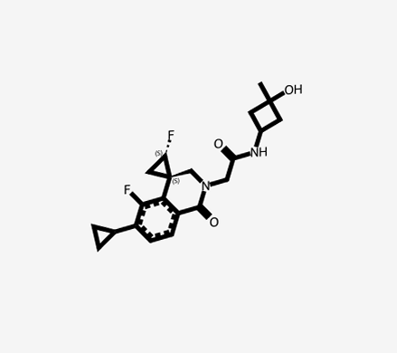 CC1(O)CC(NC(=O)CN2C[C@]3(C[C@@H]3F)c3c(ccc(C4CC4)c3F)C2=O)C1